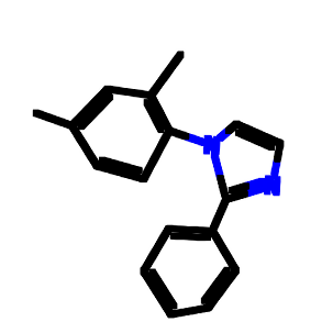 Cc1ccc(-n2ccnc2-c2ccccc2)c(C)c1